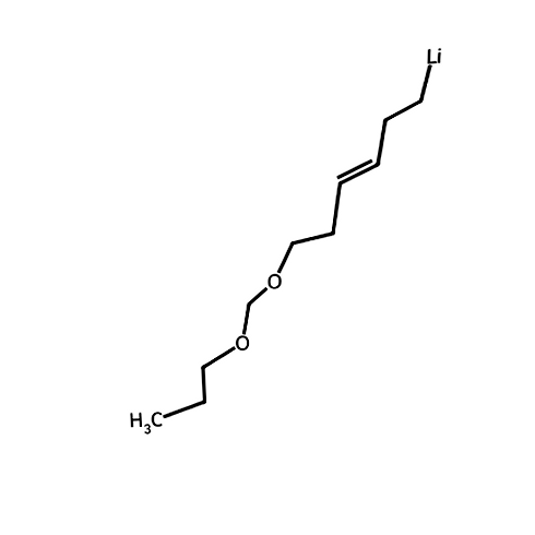 [Li][CH2]CC=CCCOCOCCC